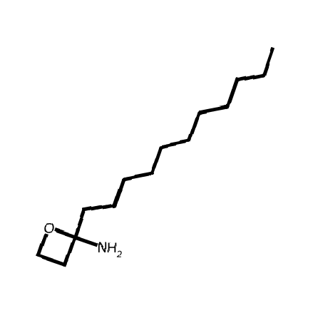 CCCCCCCCCCCC1(N)CCO1